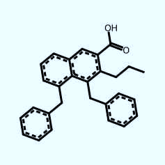 CCCc1c(C(=O)O)cc2cccc(Cc3ccccc3)c2c1Cc1ccccc1